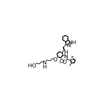 COc1c(OCCCNCCCO)ccc(C=Cc2n[nH]c3ccccc23)c1NC(=O)c1sccc1C